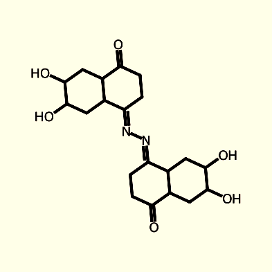 O=C1CCC(=NN=C2CCC(=O)C3CC(O)C(O)CC23)C2CC(O)C(O)CC12